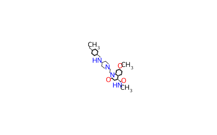 CCc1ccc(CNC2CCN(CCn3c(=O)cc(C(=O)NC)c4ccc(OC)cc43)CC2)cc1